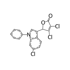 O=C1OC(c2cn(-c3ccccc3)c3cc(Cl)ccc23)C(Cl)=C1Cl